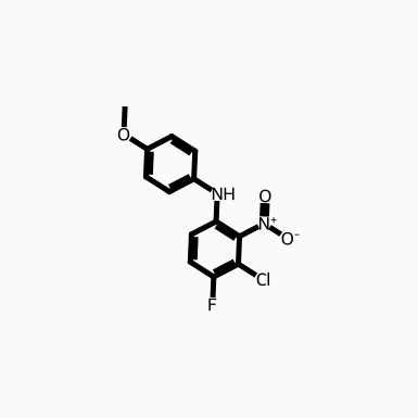 COc1ccc(Nc2ccc(F)c(Cl)c2[N+](=O)[O-])cc1